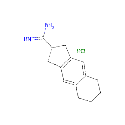 Cl.N=C(N)C1Cc2cc3c(cc2C1)CCCC3